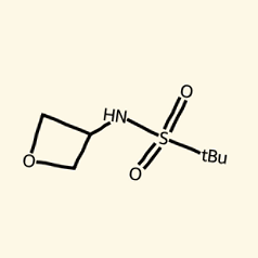 CC(C)(C)S(=O)(=O)NC1COC1